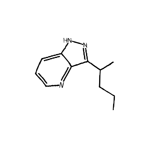 CCCC(C)c1n[nH]c2cccnc12